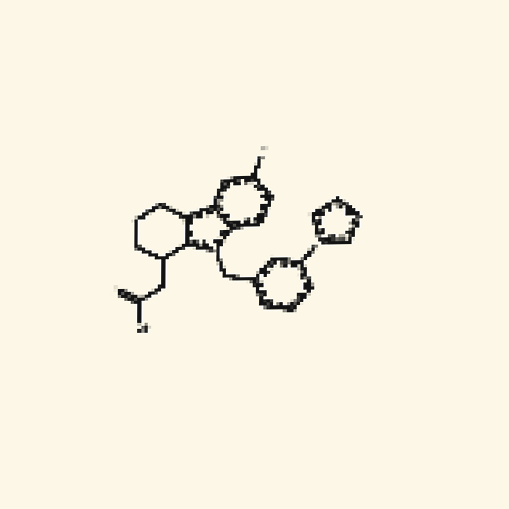 O=C(O)CC1CCCc2c1n(Cc1cccc(-n3ccnc3)c1)c1ccc(F)cc21